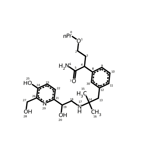 CCCOCCC(C(N)=O)c1cccc(CC(C)(C)NCC(O)c2ccc(O)c(CO)n2)c1